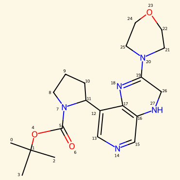 CC(C)(C)OC(=O)N1CCCC1c1cncc2c1N=C(N1CCOCC1)CN2